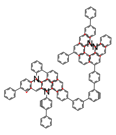 CC1C=C(N(c2c#cc(-c3ccccc3)cc2)c2ccccc2)C(c2ccccc2-c2ccccc2N(c2ccc(-c3ccccc3)cc2)c2ccc(-c3ccc(-c4cccc(-c5cc#cc(-c6ccc(-c7ccc(N(c8ccccc8)c8ccccc8-c8ccccc8-c8ccccc8N(c8ccc(-c9ccccc9)cc8)c8ccc(-c9ccccc9)cc8)cc7)cc6)c5)c4)cc3)cc2)=CC1